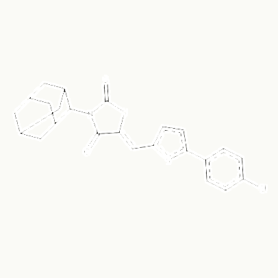 O=C1/C(=C/c2ccc(-c3ccc(Cl)cc3)s2)SC(=S)N1C1C2CC3CC(C2)CC1C3